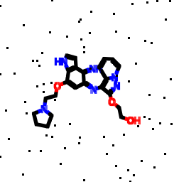 N=C1/C(=N\c2c(OCCO)nn3ccccc23)C=C(OCCN2CCCC2)c2[nH]ccc21